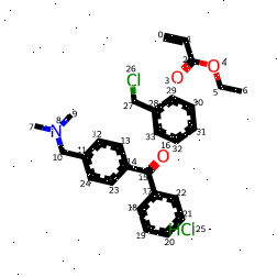 C=CC(=O)OCC.CN(C)Cc1ccc(C(=O)c2ccccc2)cc1.Cl.ClCc1ccccc1